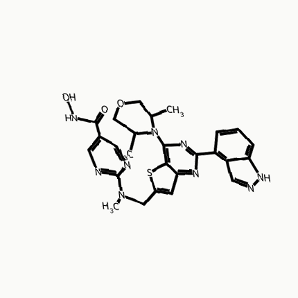 CC1COCC(C)N1c1nc(-c2cccc3[nH]ncc23)nc2cc(CN(C)c3ncc(C(=O)NO)cn3)sc12